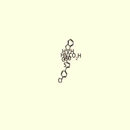 O=C(O)[C@]1(NS(=O)(=O)c2ccc(-c3ccc(Cl)cc3)s2)[C@@H]2c3ccccc3C[C@@H]21